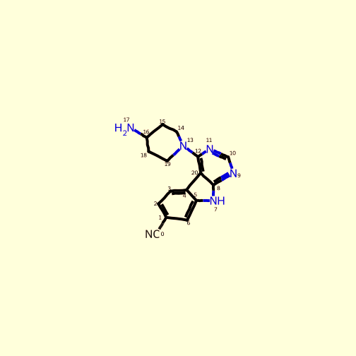 N#Cc1ccc2c(c1)[nH]c1ncnc(N3CCC(N)CC3)c12